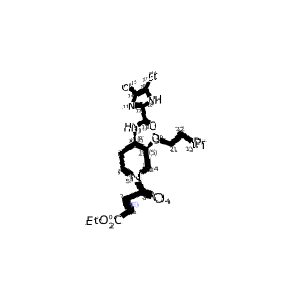 CCOC(=O)/C=C/C(=O)N1CC[C@@H](NC(=O)c2nc(Cl)c(CC)[nH]2)[C@@H](OCCC(C)C)C1